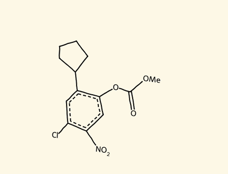 COC(=O)Oc1cc([N+](=O)[O-])c(Cl)cc1C1CCCC1